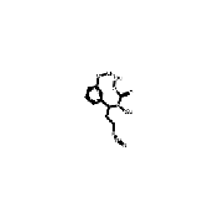 CC(C)(C)OC(=O)N(C(CCN=[N+]=[N-])c1cccc(OC(F)(F)F)c1)C(C)(C)C